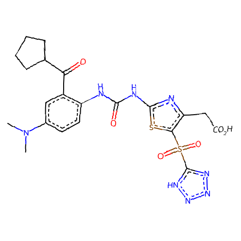 CN(C)c1ccc(NC(=O)Nc2nc(CC(=O)O)c(S(=O)(=O)c3nnn[nH]3)s2)c(C(=O)C2CCCC2)c1